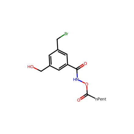 CCCCCC(=O)ONC(=O)c1cc(CO)cc(CBr)c1